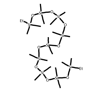 CC[Si](C)(C)O[Si](C)(C)O[Si](C)(C)O[Si](C)(C)O[Si](C)(C)O[Si](C)(C)O[Si](C)(C)O[Si](C)(C)O[Si](C)(C)CC